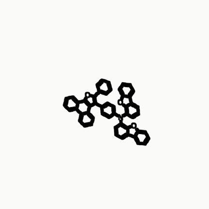 c1ccc(-c2oc3c4ccccc4c4ccccc4c3c2-c2ccc(N(c3cccc4c3oc3ccccc34)c3cccc4c3oc3ccccc34)cc2)cc1